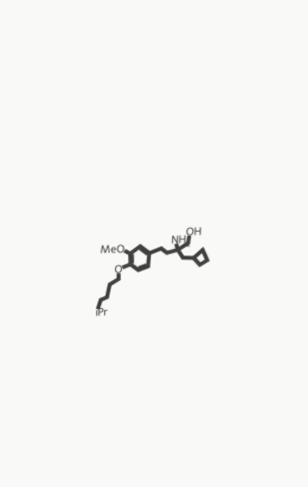 COc1cc(CCC(N)(CO)CC2CCC2)ccc1OCCCCC(C)C